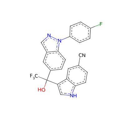 N#Cc1ccc2[nH]cc(C(O)(c3ccc4c(cnn4-c4ccc(F)cc4)c3)C(F)(F)F)c2c1